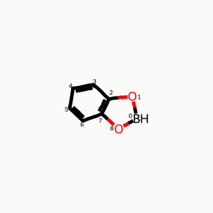 B1Oc2[c]cccc2O1